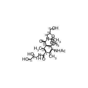 CC(=O)Nc1c(C)c(C(=O)NCC(O)CO)c(C)c(C(=O)N2CC(CO)OC2(C)C)c1C